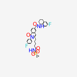 O=C(CCCCc1cc2cc(C(=O)NC3CCCc4cc(F)ccc43)ccc2c(=O)n1-c1ccc(F)cc1)NS(=O)(=O)C1CC1